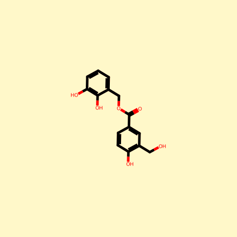 O=C(OCc1cccc(O)c1O)c1ccc(O)c(CO)c1